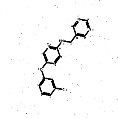 Clc1cccc(Oc2ccc(NCc3cncnc3)nc2)c1